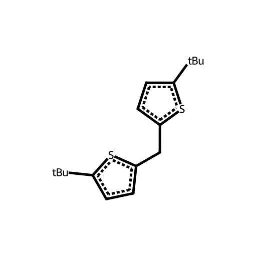 CC(C)(C)c1ccc(Cc2ccc(C(C)(C)C)s2)s1